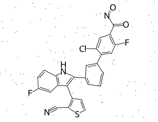 N#Cc1sccc1-c1c(-c2cccc(-c3cc(F)c(C(=O)N=O)cc3Cl)c2)[nH]c2ccc(F)cc12